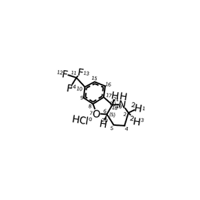 Cl.[2H]C1([2H])CC[C@@H]2Oc3cc(C(F)(F)F)ccc3[C@@H]2N1